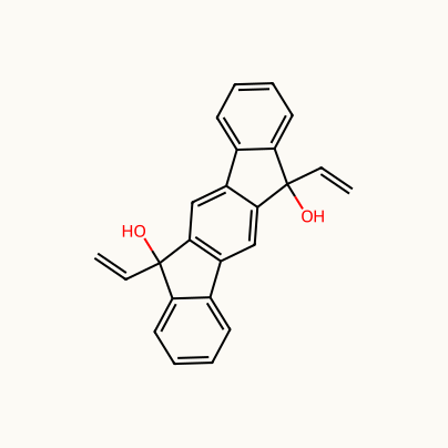 C=CC1(O)c2ccccc2-c2cc3c(cc21)-c1ccccc1C3(O)C=C